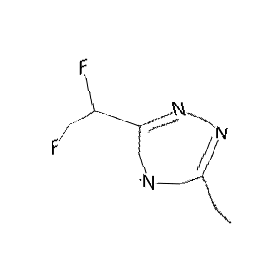 CC1=NN=C(C(F)F)[N]1